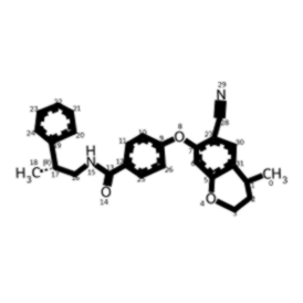 CC1CCOc2cc(Oc3ccc(C(=O)NC[C@H](C)c4ccccc4)cc3)c(C#N)cc21